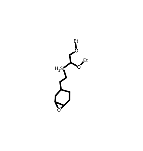 CCOCC(OCC)[SiH2]CCC1CCC2OC2C1